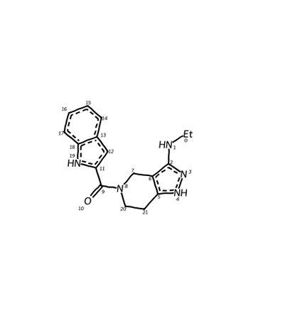 CCNc1n[nH]c2c1CN(C(=O)c1cc3ccccc3[nH]1)CC2